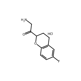 Cl.NCC(=O)C1CCc2cc(F)ccc2O1